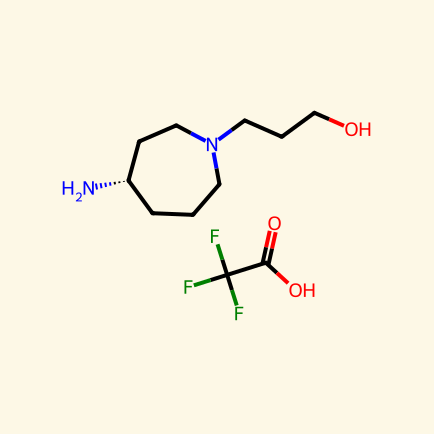 N[C@H]1CCCN(CCCO)CC1.O=C(O)C(F)(F)F